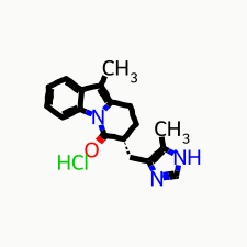 Cc1[nH]cnc1C[C@H]1CCc2c(C)c3ccccc3n2C1=O.Cl